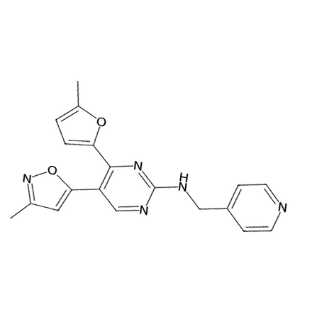 Cc1cc(-c2cnc(NCc3ccncc3)nc2-c2ccc(C)o2)on1